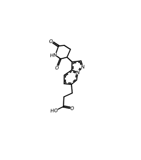 O=C(O)CCc1ccc2c(C3CCC(=O)NC3=O)cnn2c1